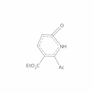 CCOC(=O)c1ccc(=O)[nH]c1C(C)=O